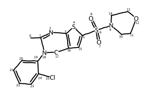 CC1=Nc2sc(S(=O)(=O)N3CCOCC3)cc2CN1c1ccccc1Cl